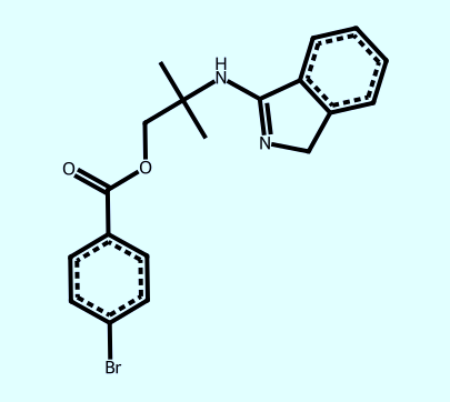 CC(C)(COC(=O)c1ccc(Br)cc1)NC1=NCc2ccccc21